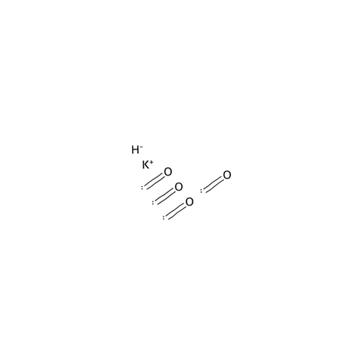 [C]=O.[C]=O.[C]=O.[C]=O.[H-].[K+]